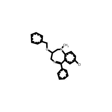 CN1CC(OCc2ccccc2)C/N=C(/c2ccccc2)c2cc(Cl)ccc21